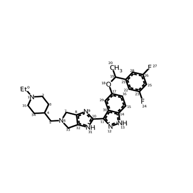 CCN1CCC(CN2Cc3nc(-c4n[nH]c5ccc(OC(C)c6cc(F)cc(F)c6)cc45)[nH]c3C2)CC1